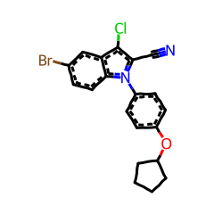 N#Cc1c(Cl)c2cc(Br)ccc2n1-c1ccc(OC2CCCC2)cc1